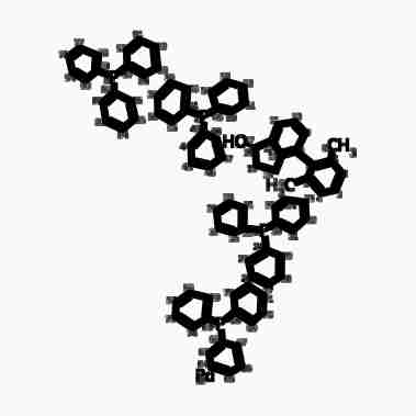 Cc1cccc(C)c1-c1cccc2c1CC[C@@H]2O.[Pd].c1ccc(P(c2ccccc2)c2ccccc2)cc1.c1ccc(P(c2ccccc2)c2ccccc2)cc1.c1ccc(P(c2ccccc2)c2ccccc2)cc1.c1ccc(P(c2ccccc2)c2ccccc2)cc1